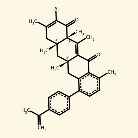 C=C(C)c1ccc(-c2ccc(C)c3c2C[C@]2(C)C[C@]4(C)CC(C)=C(C(C)=O)C(=O)[C@]4(C)C(C)=C2C3=O)cc1